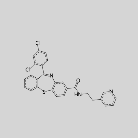 O=C(NCCc1cccnc1)c1ccc2c(c1)N=C(c1ccc(Cl)cc1Cl)c1ccccc1S2